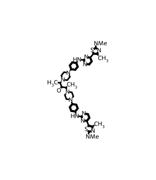 CNc1nc(C)c(-c2ccnc(Nc3ccc(N4CCN(C(C)C(=O)C(C)N5CCN(c6ccc(Nc7nccc(-c8sc(NC)nc8C)n7)cc6)CC5)CC4)cc3)n2)s1